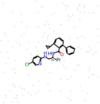 CC(C)[C@@H](CNc1ccc(Cl)cn1)NC(=O)c1c(-c2ccccc2)cccc1C1CC1